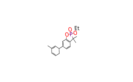 CCOP1(=O)Oc2cc(C3C=C(C)C=CC3)ccc2C1(C)C